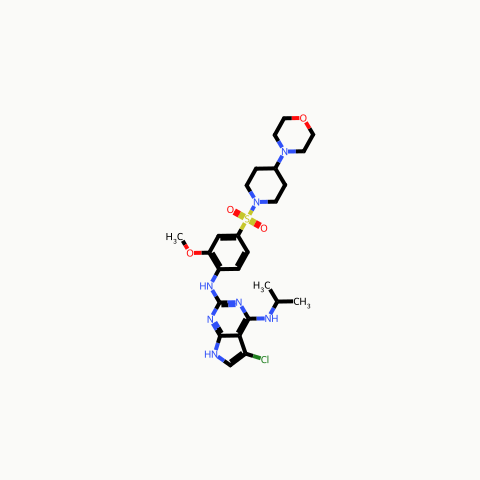 COc1cc(S(=O)(=O)N2CCC(N3CCOCC3)CC2)ccc1Nc1nc(NC(C)C)c2c(Cl)c[nH]c2n1